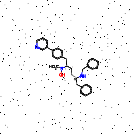 O=C(O)N(O)C(CC[C@@H](Cc1ccccc1)NCc1ccccc1)Cc1ccc(-c2cccnc2)cc1